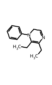 CCC1=C(CC)N(c2ccccc2)CC=N1